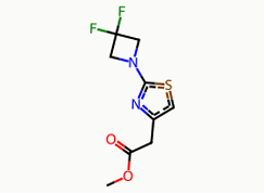 COC(=O)Cc1csc(N2CC(F)(F)C2)n1